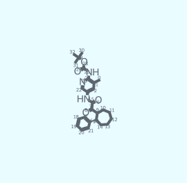 Cc1cc(NC(=O)C(=O)C2CCCCC[C@H]2c2ccccc2)cnc1NC(=O)OC(C)(C)C